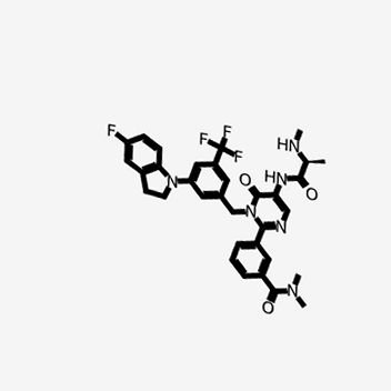 CN[C@@H](C)C(=O)Nc1cnc(-c2cccc(C(=O)N(C)C)c2)n(Cc2cc(N3CCc4cc(F)ccc43)cc(C(F)(F)F)c2)c1=O